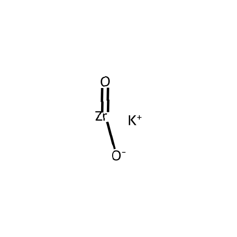 [K+].[O]=[Zr][O-]